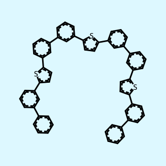 c1ccc(-c2cccc(-c3ccc(-c4cccc(-c5cccc(-c6ccc(-c7cccc(-c8cccc(-c9ccc(-c%10cccc(-c%11ccccc%11)c%10)s9)c8)c7)s6)c5)c4)s3)c2)cc1